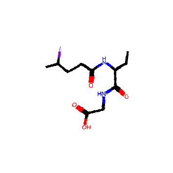 CCC(NC(=O)CCC(C)I)C(=O)NCC(=O)O